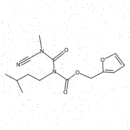 CC(C)CCN(C(=O)OCc1ccco1)C(=O)N(C)C#N